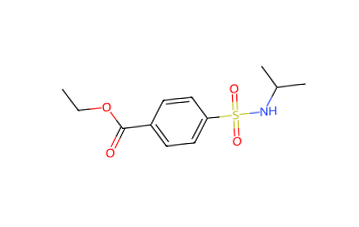 CCOC(=O)c1ccc(S(=O)(=O)NC(C)C)cc1